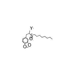 CCCCCCCCS(=O)C(C)Cc1ccc2c(c1)OCO2.[Y]